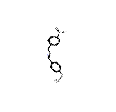 COc1ccc(/C=N/Cc2ccc([N+](=O)[O-])cc2)cc1